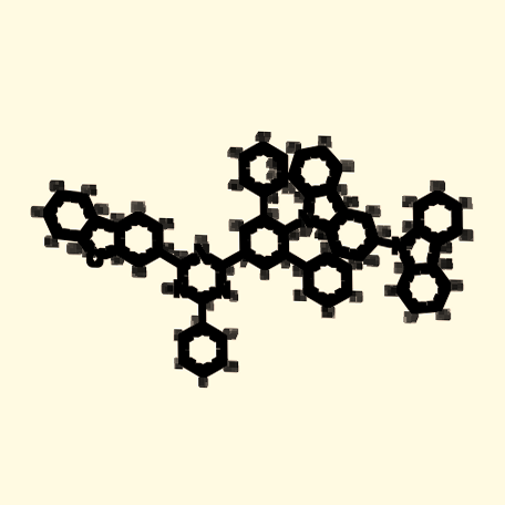 c1ccc(-c2nc(-c3cc(-c4ccccc4)c(-n4c5ccccc5c5cc(-n6c7ccccc7c7ccccc76)ccc54)c(-c4ccccc4)c3)nc(-c3ccc4c(c3)oc3ccccc34)n2)cc1